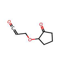 O=C=CCOC1CCCC1=O